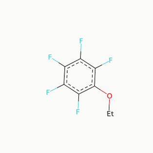 [CH2]COc1c(F)c(F)c(F)c(F)c1F